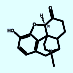 CN1CCC23c4c5ccc(O)c4O[C@H]2C(=O)CCC3C1C5